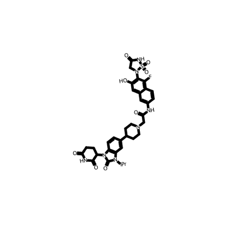 CC(C)n1c(=O)n(C2CCC(=O)NC2=O)c2ccc(C3CCN(CC(=O)Nc4ccc5c(F)c(N6CC(=O)NS6(=O)=O)c(O)cc5c4)CC3)cc21